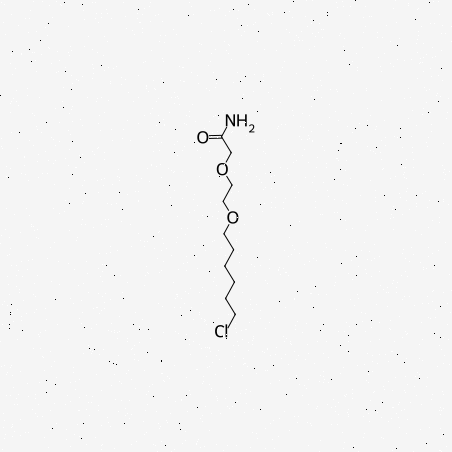 NC(=O)COCCOCCCCCCCl